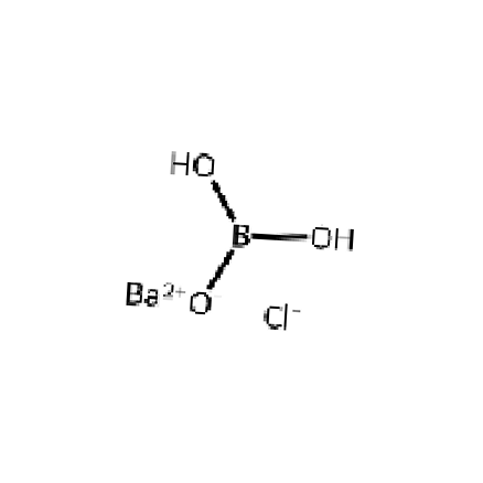 [Ba+2].[Cl-].[O-]B(O)O